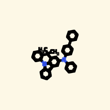 CC1(C)c2ccccc2-n2c3ccccc3c3cc(N(c4ccccc4)c4ccc(-c5ccccc5)cc4)cc1c32